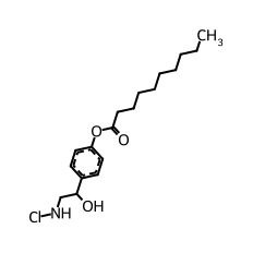 CCCCCCCCCC(=O)Oc1ccc(C(O)CNCl)cc1